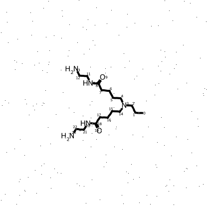 CCCN(CCCCC(=O)NCCN)CCCCC(=O)NCCN